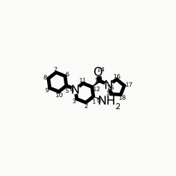 N[C@@H]1CCN(C2CCCCC2)C[C@H]1C(=O)N1CCCC1